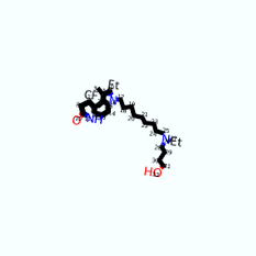 CCc1c(C)c2c3c(C(F)(F)F)cc(=O)[nH]c3ccc2n1CCCCCCCCCN(CC)CCCCO